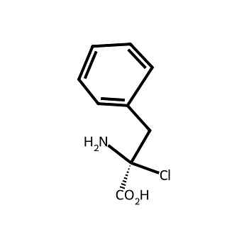 N[C@](Cl)(Cc1ccccc1)C(=O)O